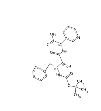 CC(C)(C)OC(=O)N[C@H](Cc1ccccc1)[C@H](O)C(=O)N[C@H](C(=O)O)c1cccnc1